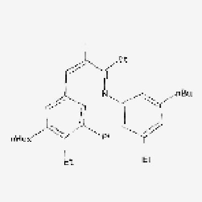 CCCCCCc1cc(C=C(C)C(CC)=Nc2cc(CC)cc(CCCC)c2)cc(CC)c1CC